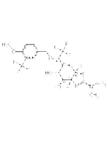 COc1ccc(CO[C@H]([C@H]2O[C@@H]3SC(N(C)C)=N[C@@H]3[C@@H](O)[C@@H]2O)C(F)(F)F)cc1C(F)(F)F